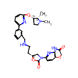 C[C@H]1[C@@H](Oc2cccc(-c3cccc(CNCC[C@H]4CN(c5ccc6c(n5)NC(=O)CO6)C(=O)O4)c3)n2)CCN1C